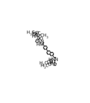 COC(=O)NC(C(=O)N1CCCC1c1ncc(-c2ccc(-c3ccc4cc(-c5cnc(C6CCCN6C(=O)OC(C)(C)C)[nH]5)ccc4c3)cc2)[nH]1)C(C)C